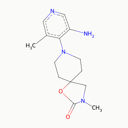 Cc1cncc(N)c1N1CCC2(CC1)CN(C)C(=O)O2